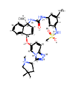 CN1CC(C)(C)C[C@H]1c1nnc2ccc(O[C@@H]3C=C[C@](C=O)(NC(=O)Nc4cc(NS(C)(=O)=O)cc(C(C)(C)C)c4)c4ccccc43)cn12